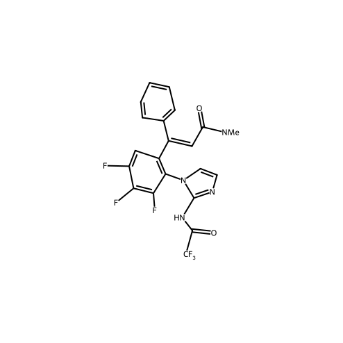 CNC(=O)/C=C(\c1ccccc1)c1cc(F)c(F)c(F)c1-n1ccnc1NC(=O)C(F)(F)F